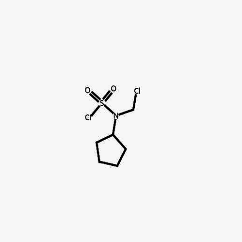 O=S(=O)(Cl)N(CCl)C1CCCC1